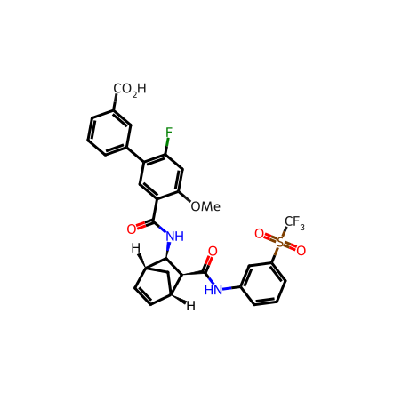 COc1cc(F)c(-c2cccc(C(=O)O)c2)cc1C(=O)N[C@H]1[C@@H](C(=O)Nc2cccc(S(=O)(=O)C(F)(F)F)c2)[C@@H]2C=C[C@H]1C2